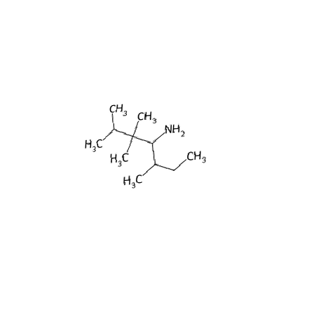 CCC(C)C(N)C(C)(C)C(C)C